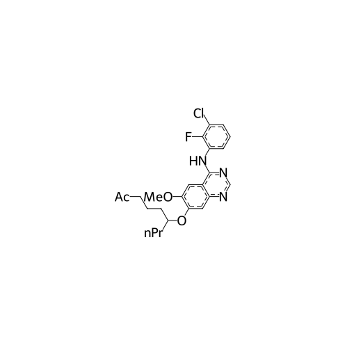 CCCC(CCCC(C)=O)Oc1cc2ncnc(Nc3cccc(Cl)c3F)c2cc1OC